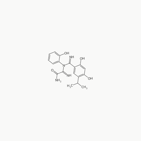 CC(C)c1cc(C(=N)N(C(=N)C(N)=O)c2ccccc2O)c(O)cc1O